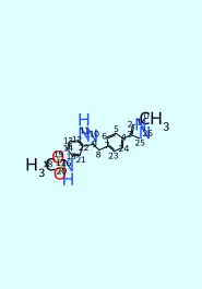 Cn1cc(-c2ccc(Cc3n[nH]c4ccc(NS(C)(=O)=O)cc34)cc2)cn1